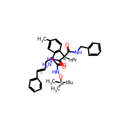 CCC[C@](C(=O)NN)(C(=O)NCc1ccccc1)c1ccc(C)cc1[C@H](C/C=C/c1ccccc1)C(=O)NO[Si](C)(C)C(C)(C)C